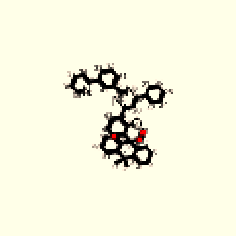 CC1(C)c2ccccc2C2(c3ccccc3Oc3c(-c4cc(-c5ccccc5)nc(-c5cccc(-c6ccccn6)c5)n4)cccc32)c2ccccc21